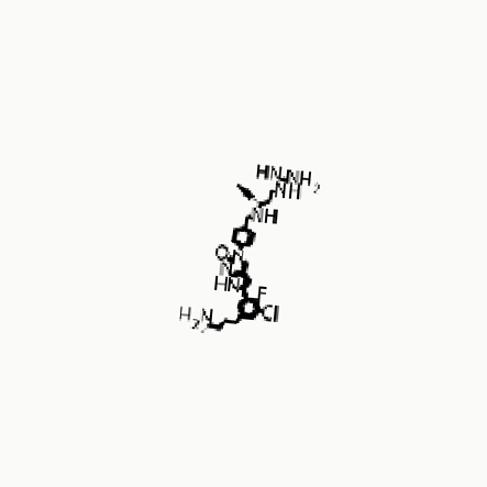 CC#C[C@H](CCNC(=N)N)NCc1ccc(-n2cc3cc(-c4cc(CCC[C@H](C)N)cc(Cl)c4F)[nH]c3nc2=O)cc1